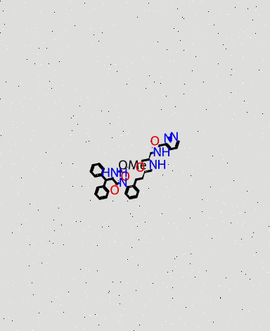 COC(=O)NC(C(=O)Nc1ccccc1CC[C@@H]1CN[C@H](CNC(=O)c2cccnn2)CO1)C(c1ccccc1)c1ccccc1